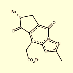 CCOC(=O)Cn1c2c(c(=O)n3nc(C)cc13)CN([C@@H](C)CC)C2=O